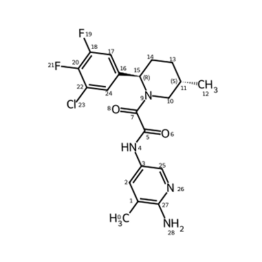 Cc1cc(NC(=O)C(=O)N2C[C@@H](C)CC[C@@H]2c2cc(F)c(F)c(Cl)c2)cnc1N